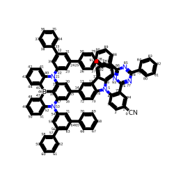 N#Cc1ccc(-n2c3ccccc3c3cc(-c4cc5c6c(c4)N(c4cc(-c7ccccc7)cc(-c7ccccc7)c4)c4ccccc4B6c4ccccc4N5c4cc(-c5ccccc5)cc(-c5ccccc5)c4)ccc32)c(-c2nc(-c3ccccc3)nc(-c3ccccc3)n2)c1